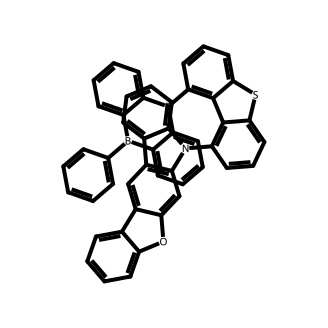 c1ccc(B2c3ccccc3B(c3cccc4sc5cccc(-n6c7ccccc7c7cc8c(cc76)oc6ccccc68)c5c34)c3ccccc32)cc1